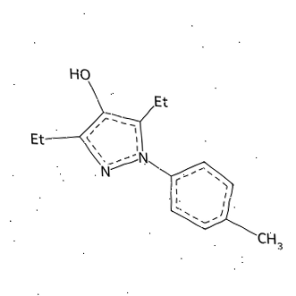 CCc1nn(-c2ccc(C)cc2)c(CC)c1O